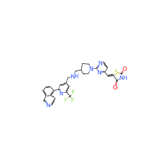 O=C1NC(=O)/C(=C/c2ccnc(N3CCC(CNCc4cc(-c5cccc6cnccc56)nc(C(F)(F)F)c4)CC3)n2)S1